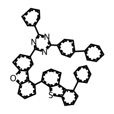 c1ccc(-c2ccc(-c3nc(-c4ccccc4)nc(-c4ccc5oc6cccc(-c7cccc8c7sc7cccc(-c9ccccc9)c78)c6c5c4)n3)cc2)cc1